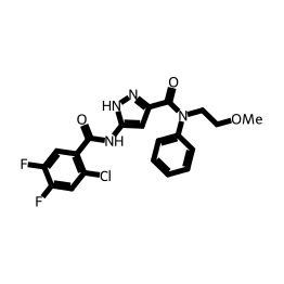 COCCN(C(=O)c1cc(NC(=O)c2cc(F)c(F)cc2Cl)[nH]n1)c1ccccc1